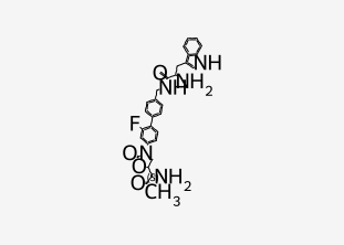 CC(=O)[C@@H](N)C1CN(c2ccc(-c3ccc(CNC(=O)C(N)Cc4c[nH]c5ccccc45)cc3)c(F)c2)C(=O)O1